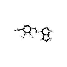 COc1ccc(CNc2ncnc3[nH]cnc23)c(O)c1O